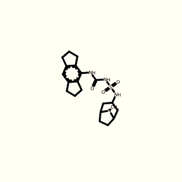 CN1C2CCC1CC(NS(=O)(=O)NC(=O)Nc1c3c(cc4c1CCC4)CCC3)C2